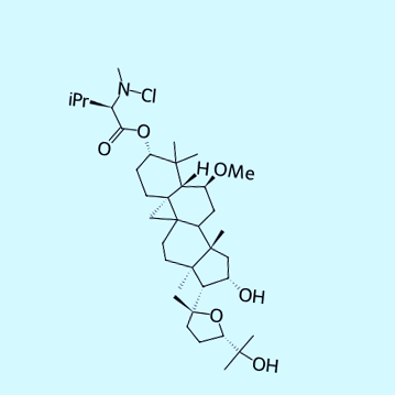 CO[C@H]1CC2C3(CC[C@]4(C)[C@@H]([C@@]5(C)CC[C@@H](C(C)(C)O)O5)[C@@H](O)C[C@@]24C)C[C@@]32CC[C@H](OC(=O)[C@@H](C(C)C)N(C)Cl)C(C)(C)[C@H]12